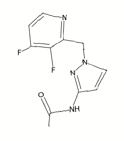 CC(=O)Nc1ccn(Cc2nccc(F)c2F)n1